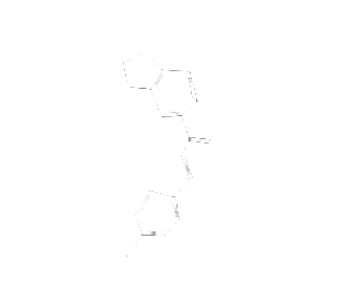 O=C(C=Cc1ccc(Br)cc1)c1ccc2c(c1)OCO2